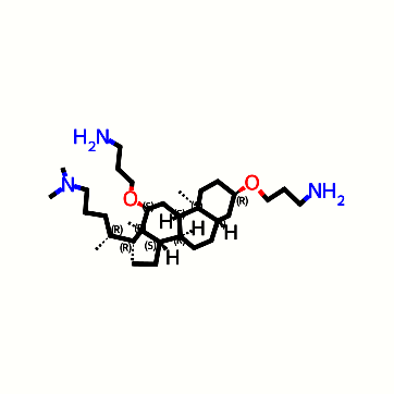 C[C@H](CCCN(C)C)[C@H]1CC[C@H]2[C@@H]3CC[C@@H]4C[C@H](OCCCN)CC[C@]4(C)[C@H]3C[C@H](OCCCN)[C@]12C